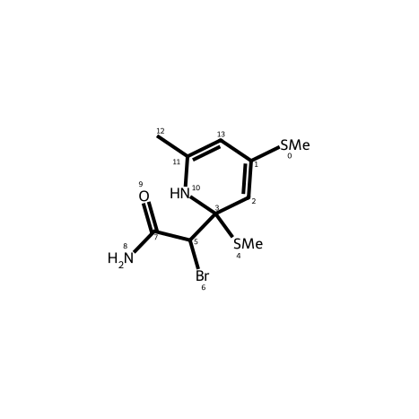 CSC1=CC(SC)(C(Br)C(N)=O)NC(C)=C1